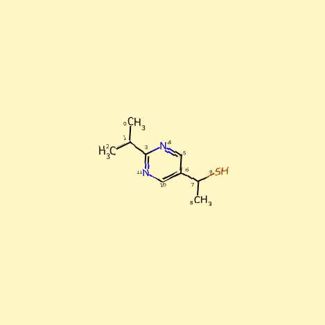 CC(C)c1ncc(C(C)S)cn1